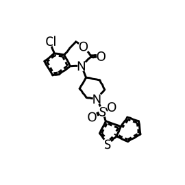 O=C1OCc2c(Cl)cccc2N1C1CCN(S(=O)(=O)c2csc3ccccc23)CC1